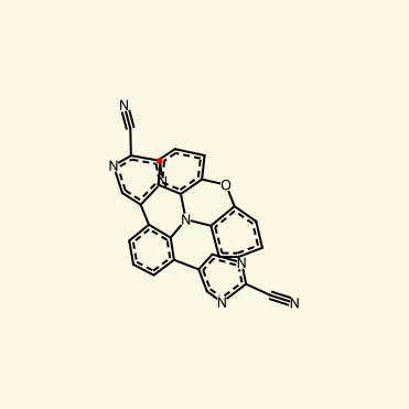 N#Cc1cnc(-c2cccc(-c3cnc(C#N)nc3)c2N2c3ccccc3Oc3ccccc32)cn1